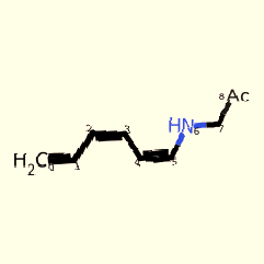 C=C/C=C\C=C/NCC(C)=O